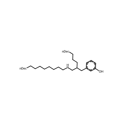 CCCCCCCCCCCCCCCCCCNCC(CCCCCCCCCCCCC)Cc1cccc(O)c1